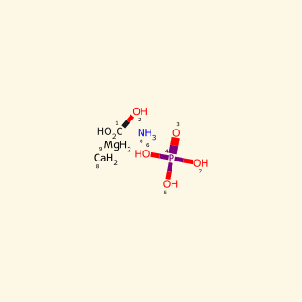 N.O=C(O)O.O=P(O)(O)O.[CaH2].[MgH2]